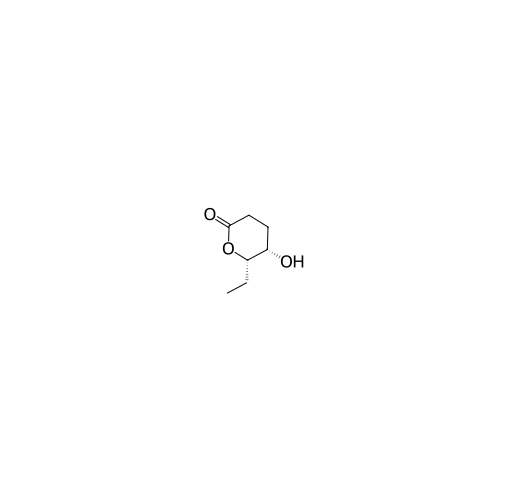 CC[C@@H]1OC(=O)CC[C@@H]1O